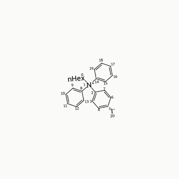 CCCCCC[N+](c1ccccc1)(c1ccccc1)c1ccccc1.[I-]